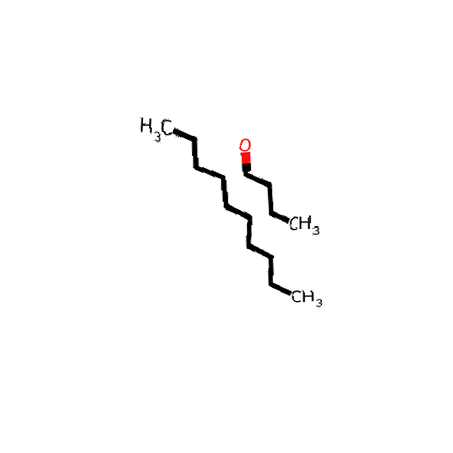 CCCC=O.CCCCCCCCCC